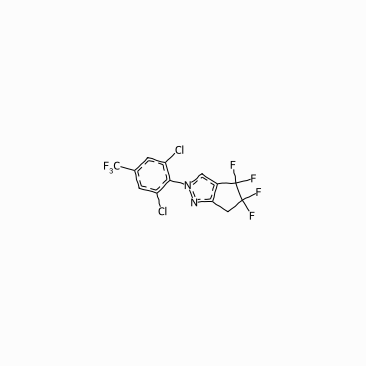 FC(F)(F)c1cc(Cl)c(-n2cc3c(n2)CC(F)(F)C3(F)F)c(Cl)c1